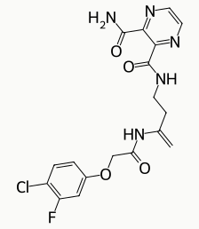 C=C(CCNC(=O)c1nccnc1C(N)=O)NC(=O)COc1ccc(Cl)c(F)c1